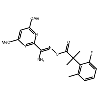 COc1cc(OC)nc(/C(N)=N/OC(=O)C(C)(C)c2c(C)cccc2F)n1